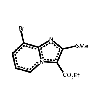 CCOC(=O)c1c(SC)nc2c(Br)cccn12